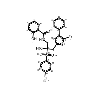 CCc1sc(CC(C)(CNC(=O)c2ccccc2O)S(=O)(=O)c2ccc(C(F)(F)F)nc2)nc1-c1ccccc1